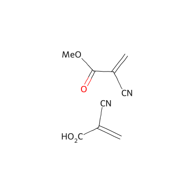 C=C(C#N)C(=O)O.C=C(C#N)C(=O)OC